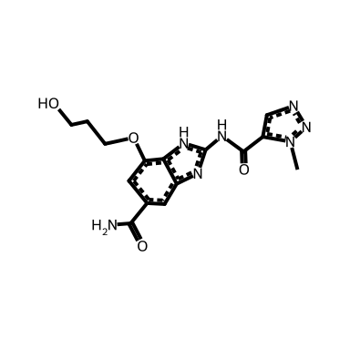 Cn1nncc1C(=O)Nc1nc2cc(C(N)=O)cc(OCCCO)c2[nH]1